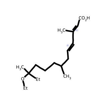 CCOC(C)(CC)CCCC(C)C/C=C/C(C)=C/C(=O)O